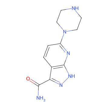 NC(=O)c1n[nH]c2nc(N3CCNCC3)ccc12